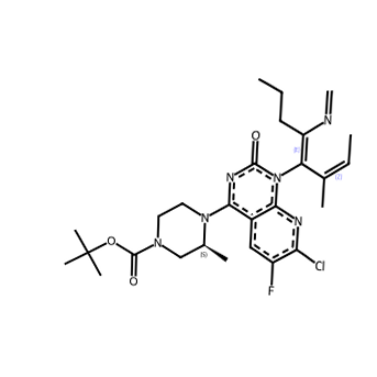 C=N/C(CCC)=C(\C(C)=C/C)n1c(=O)nc(N2CCN(C(=O)OC(C)(C)C)C[C@@H]2C)c2cc(F)c(Cl)nc21